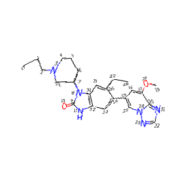 CCCN1CCCC(n2c(=O)[nH]c3cc(-c4cc(OC)c5ncnn5c4)c(CC)cc32)C1